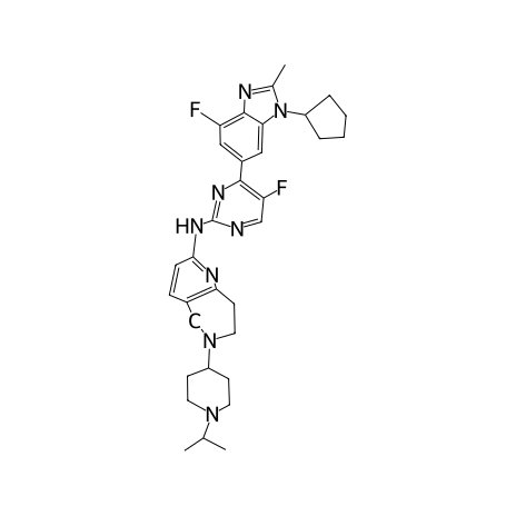 Cc1nc2c(F)cc(-c3nc(Nc4ccc5c(n4)CCN(C4CCN(C(C)C)CC4)C5)ncc3F)cc2n1C1CCCC1